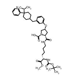 COC(=O)[C@H](CCCCNC(=O)[C@@H]1C[C@H](Oc2cccc(CC3CCC(c4ccccc4)(N(C)C)CC3)c2)CN1C(=O)O)NC(=O)OC(C)(C)C